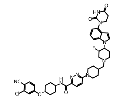 N#Cc1ccc(O[C@H]2CC[C@H](NC(=O)c3ccc(N4CCC(CN5CC[C@@H](n6ccc7c(N8CCC(=O)NC8=O)cccc76)[C@H](F)C5)CC4)nn3)CC2)cc1Cl